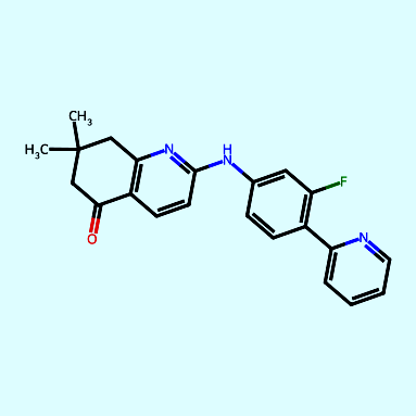 CC1(C)CC(=O)c2ccc(Nc3ccc(-c4ccccn4)c(F)c3)nc2C1